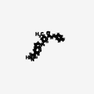 C[C@H]1C[C@H](Cn2ccc3cc(-c4cn[nH]c4)cnc32)CN1C(=O)CCc1ccc(F)cc1